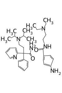 CC(C)N(CCC(C(N)=O)(c1ccccc1)c1ccccn1)C(C)C.CCN(CC)CCNC(=O)c1ccc(N)cc1